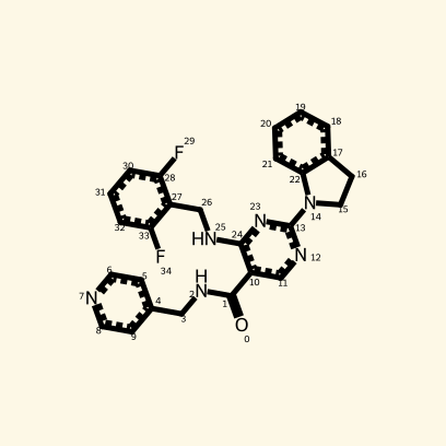 O=C(NCc1ccncc1)c1cnc(N2CCc3ccccc32)nc1NCc1c(F)cccc1F